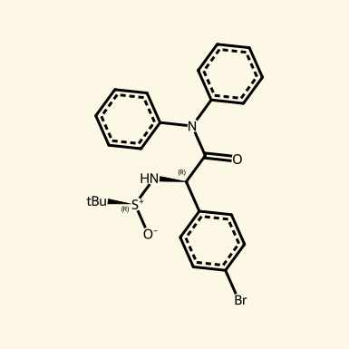 CC(C)(C)[S@+]([O-])N[C@@H](C(=O)N(c1ccccc1)c1ccccc1)c1ccc(Br)cc1